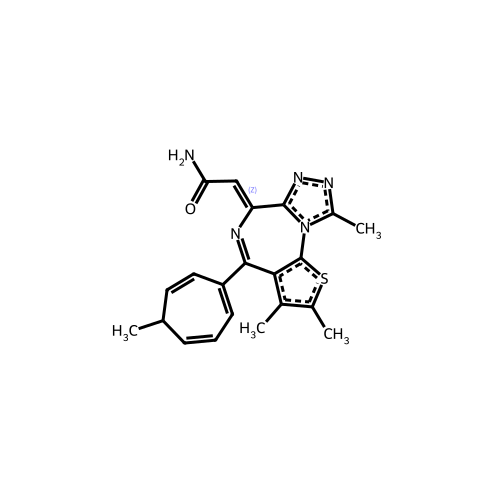 Cc1sc2c(c1C)C(C1=CC=CC(C)C=C1)=N/C(=C\C(N)=O)c1nnc(C)n1-2